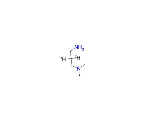 [2H]C([2H])(CN)CN(C)C